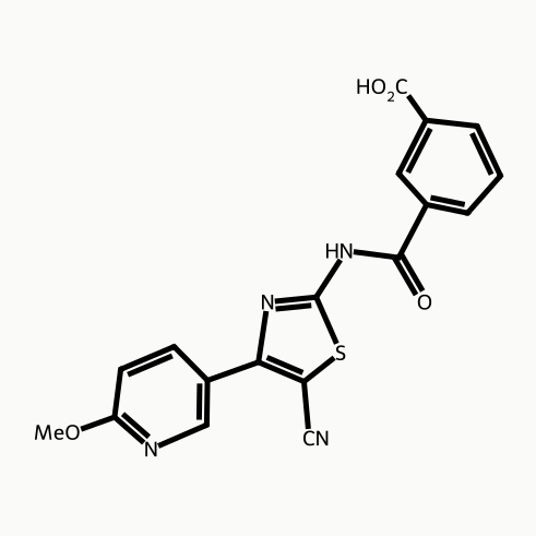 COc1ccc(-c2nc(NC(=O)c3cccc(C(=O)O)c3)sc2C#N)cn1